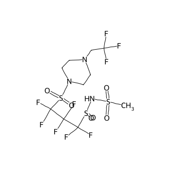 CS(=O)(=O)NS(=O)(=O)C(F)(F)C(F)(F)C(F)(F)S(=O)(=O)N1CCN(CC(F)(F)F)CC1